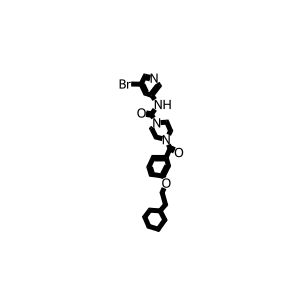 O=C(Nc1cncc(Br)c1)N1CCN(C(=O)c2cccc(OCCC3CCCCC3)c2)CC1